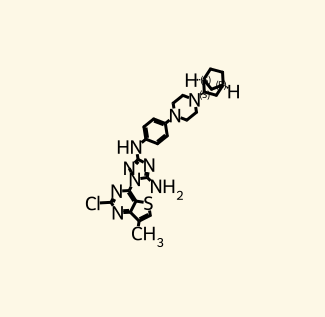 Cc1csc2c(-n3nc(Nc4ccc(N5CCN([C@H]6C[C@@H]7CC[C@H]6C7)CC5)cc4)nc3N)nc(Cl)nc12